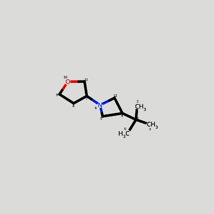 CC(C)(C)C1CN(C2CCOC2)C1